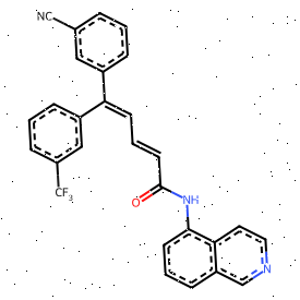 N#Cc1cccc(C(=CC=CC(=O)Nc2cccc3cnccc23)c2cccc(C(F)(F)F)c2)c1